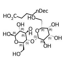 CCCCCCCCCCCCCC(=O)O.OC[C@H]1O[C@@H](O[C@H]2[C@H](O)[C@@H](O)[C@H](O)O[C@@H]2CO)[C@H](O)[C@@H](O)[C@H]1O